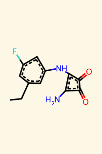 CCc1cc(F)cc(Nc2c(N)c(=O)c2=O)c1